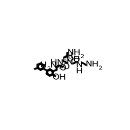 Cc1cccc(-c2ccc(O)c(C[C@H](N)C(=O)N[C@@H](C[C@@H](O)CN)C(=O)NCC(=O)NCCN)c2)c1